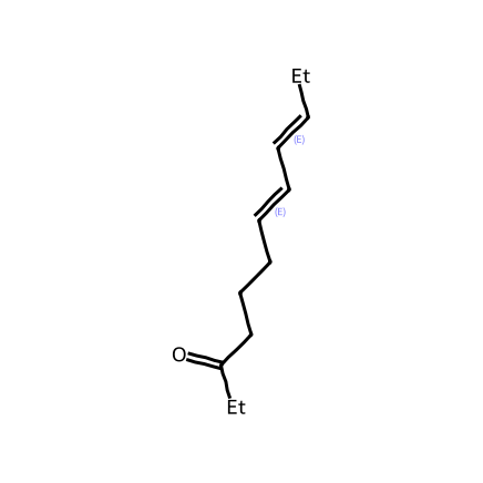 CC/C=C/C=C/CCCC(=O)CC